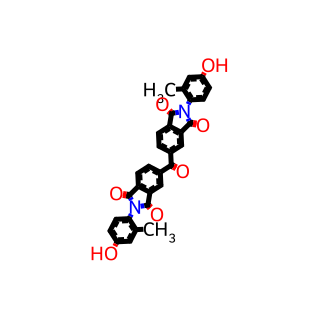 Cc1cc(O)ccc1N1C(=O)c2ccc(C(=O)c3ccc4c(c3)C(=O)N(c3ccc(O)cc3C)C4=O)cc2C1=O